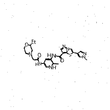 CCC1CN(CC(=O)NC2=CNC(C)C(NC(=O)c3cnn4cc(-c5cnn(C)c5)sc34)=C2)CCO1